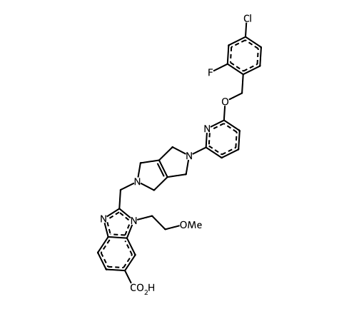 COCCn1c(CN2CC3=C(C2)CN(c2cccc(OCc4ccc(Cl)cc4F)n2)C3)nc2ccc(C(=O)O)cc21